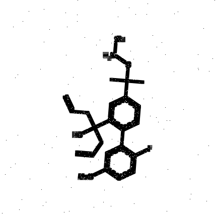 C=CCC(O)(CC=C)c1cc(C(C)(C)O[SiH2]C(C)(C)C)ccc1-c1cc(OC)ccc1F